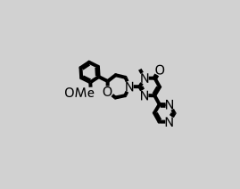 COc1ccccc1C1CCN(c2nc(-c3ccncn3)cc(=O)n2C)CCO1